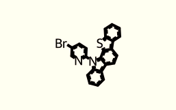 Brc1ccc(-n2c3ccccc3c3ccc4c5ccccc5sc4c32)nc1